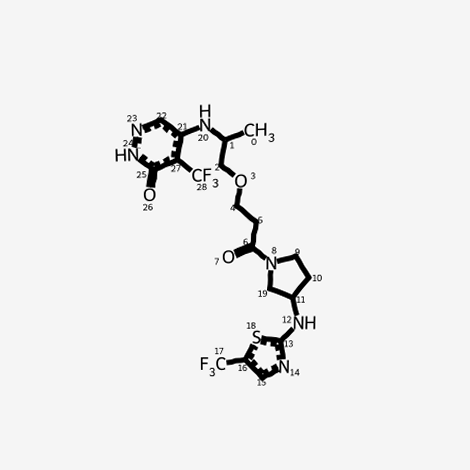 CC(COCCC(=O)N1CCC(Nc2ncc(C(F)(F)F)s2)C1)Nc1cn[nH]c(=O)c1C(F)(F)F